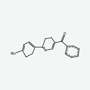 CC(C)(C)C1=CC=C(C2=NC=C(C(=O)c3ccccc3)CC2)CC1